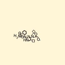 COC[C@H]1CN(c2nc(Nc3ccccc3S(N)(=O)=O)ncc2Cl)CC2(CCC2)O1